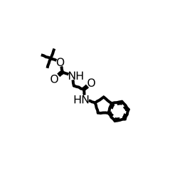 CC(C)(C)OC(=O)NCC(=O)NC1Cc2ccccc2C1